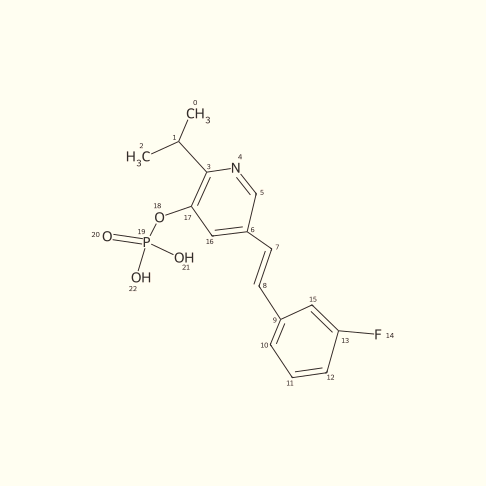 CC(C)c1ncc(C=Cc2cccc(F)c2)cc1OP(=O)(O)O